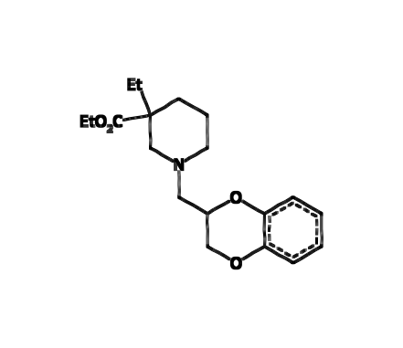 CCOC(=O)C1(CC)CCCN(CC2COc3ccccc3O2)C1